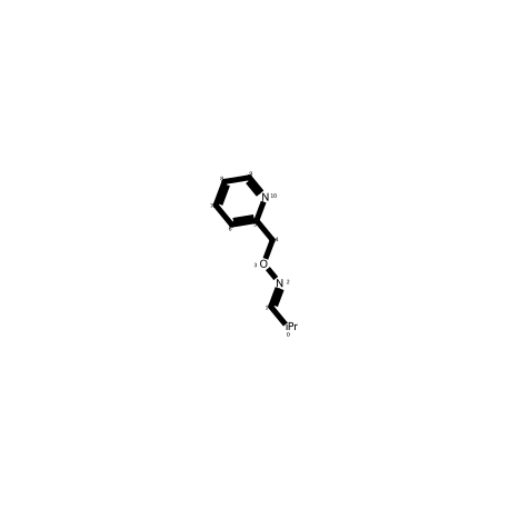 CC(C)/C=N/OCc1ccccn1